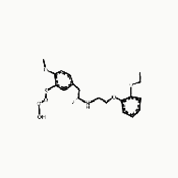 CCOc1ccccc1OCCN[C@H](C)Cc1ccc(OC)c(SOOO)c1